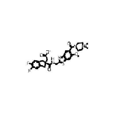 COc1cc2sc(CNC(=O)C3(CC(=O)[O-])Cc4cc(F)c(F)cc4C3)nc2cc1C(=O)N1CC[N+](C)(C)CC1